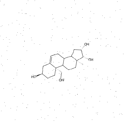 C[C@]12CCC3C(CC=C4C[C@H](O)CC[C@@]43CO)C1C[C@H](O)[C@@H]2O